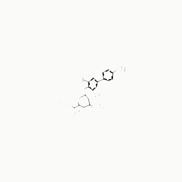 CC(=O)OCC1O[C@H](Oc2ccc(-c3ccc(C#N)cc3)cc2Cl)[C@H](OC(C)=O)C(OC(C)=O)[C@@H]1OC(C)=O